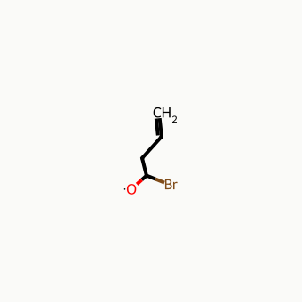 C=CCC([O])Br